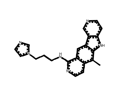 Cc1c2ccnc(NCCCn3ccnc3)c2cc2c1[nH]c1ccncc12